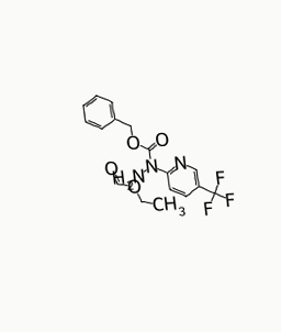 CCOC=O.NN(C(=O)OCc1ccccc1)c1ccc(C(F)(F)F)cn1